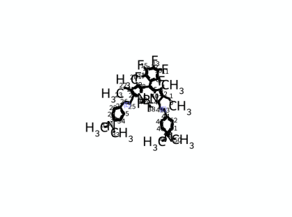 CCC1=C(C)C2=C(c3c(F)c(F)c(F)c(F)c3F)c3c(C)c(CC)c(/C=C/c4ccc(N(C)C)cc4)n3[B-](F)(F)[N+]2=C1/C=C/c1ccc(N(C)C)cc1